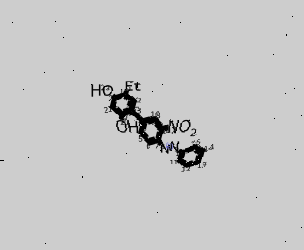 CCc1cc(-c2ccc(/N=N/c3ccccc3)c([N+](=O)[O-])c2)c(O)cc1O